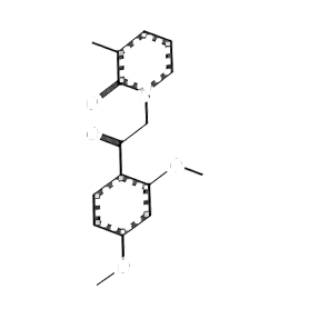 COc1ccc(C(=O)Cn2cccc(C)c2=O)c(OC)c1